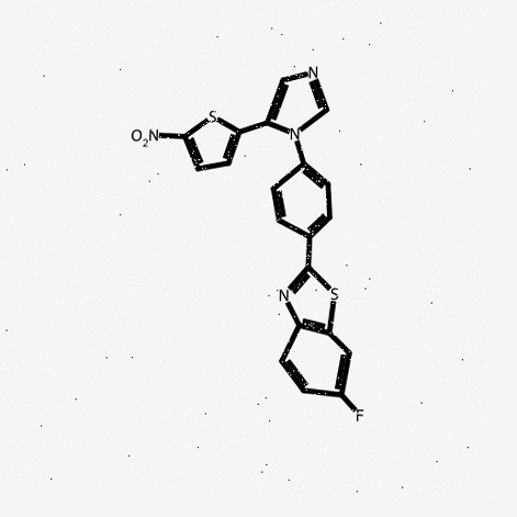 O=[N+]([O-])c1ccc(-c2cncn2-c2ccc(-c3nc4ccc(F)cc4s3)cc2)s1